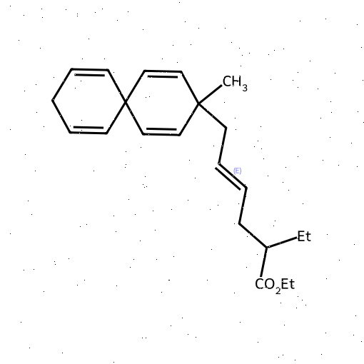 CCOC(=O)C(CC)C/C=C/CC1(C)C=CC2(C=CCC=C2)C=C1